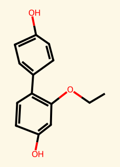 CCOc1cc(O)ccc1-c1ccc(O)cc1